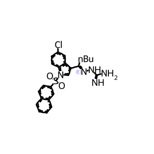 CCCC/C(=N\NC(=N)N)c1cn(S(=O)(=O)c2ccc3ccccc3c2)c2ccc(Cl)cc12